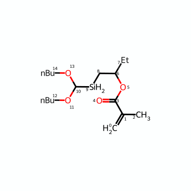 C=C(C)C(=O)OC(CC)C[SiH2]C(OCCCC)OCCCC